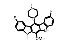 COc1c2[nH]c3ccc(F)cc3c2c(N2CCNCC2)c2c1[nH]c1ccc(F)cc12